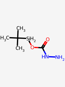 CC(C)(C)[SiH2]OC(=O)NN